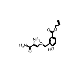 C=CCOC(=O)c1cccc(COC[C@H](N)C(N)=O)c1.Cl